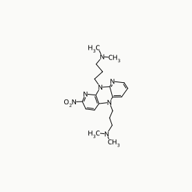 CN(C)CCCN1c2cccnc2N(CCCN(C)C)c2nc([N+](=O)[O-])ccc21